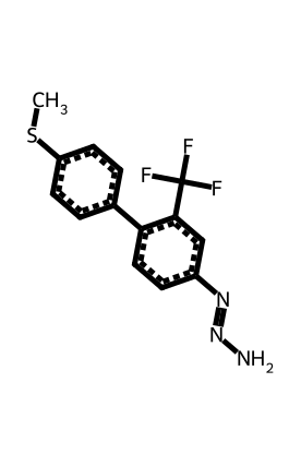 CSc1ccc(-c2ccc(N=NN)cc2C(F)(F)F)cc1